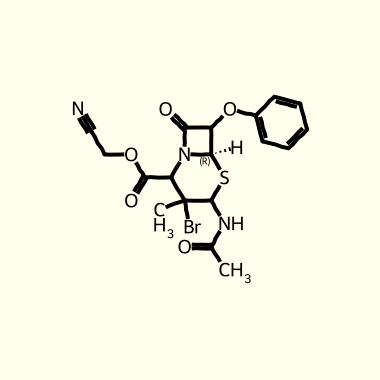 CC(=O)NC1S[C@@H]2C(Oc3ccccc3)C(=O)N2C(C(=O)OCC#N)C1(C)Br